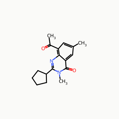 CC(=O)c1cc(C)cc2c(=O)n(C)c(C3CCCC3)nc12